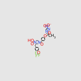 CC1(COc2ccc(C(=O)N3CCN(C(=O)O)C(Cc4ccc(OC(F)(F)F)cc4)C3)cc2)Cn2cc([N+](=O)[O-])nc2O1